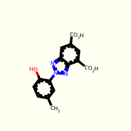 Cc1ccc(O)c(-n2nc3cc(C(=O)O)cc(C(=O)O)c3n2)c1